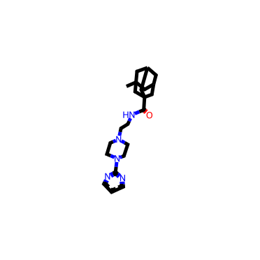 CC12CC3CC(C1)CC(C(=O)NCCN1CCN(c4ncccn4)CC1)(C3)C2